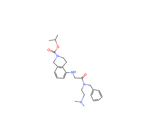 CC(C)OC(=O)N1CCc2c(cccc2NCC(=O)N(CCN(C)C)Cc2ccccc2)C1